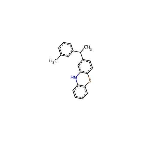 Cc1cccc(C(C)c2ccc3c(c2)Nc2ccccc2S3)c1